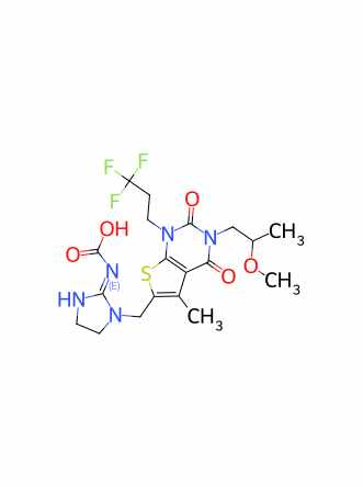 COC(C)Cn1c(=O)c2c(C)c(CN3CCN/C3=N\C(=O)O)sc2n(CCC(F)(F)F)c1=O